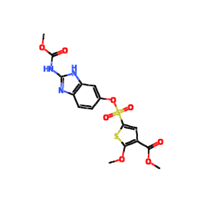 COC(=O)Nc1nc2ccc(OS(=O)(=O)c3cc(C(=O)OC)c(OC)s3)cc2[nH]1